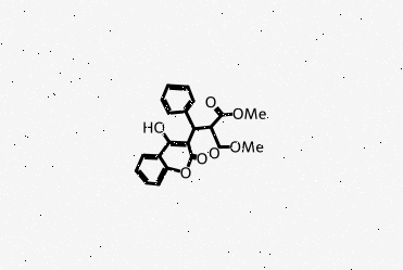 COC(=O)C(C(=O)OC)C(c1ccccc1)c1c(O)c2ccccc2oc1=O